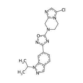 CC(C)n1ncc2ccc(-c3noc(N4CCn5c(Cl)cnc5C4)n3)cc21